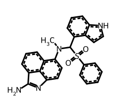 CN(c1ccc2c3c(cccc13)C(N)=N2)C(c1cccc2[nH]ccc12)S(=O)(=O)c1ccccc1